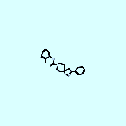 Cc1ccccc1NC(=O)N1CCC2(CC1)CC(c1ccccc1)=NO2